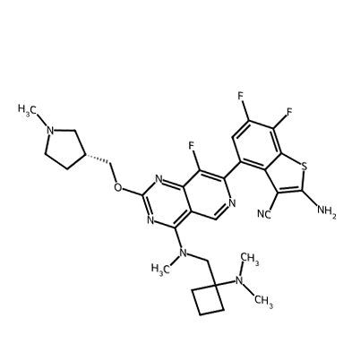 CN1CC[C@@H](COc2nc(N(C)CC3(N(C)C)CCC3)c3cnc(-c4cc(F)c(F)c5sc(N)c(C#N)c45)c(F)c3n2)C1